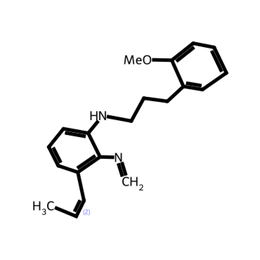 C=Nc1c(/C=C\C)cccc1NCCCc1ccccc1OC